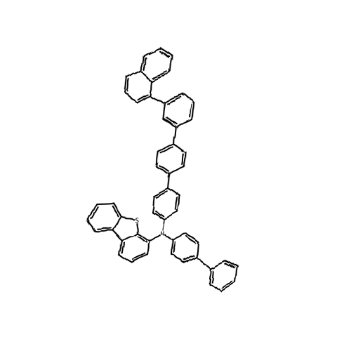 c1ccc(-c2ccc(N(c3ccc(-c4ccc(-c5cccc(-c6cccc7ccccc67)c5)cc4)cc3)c3cccc4c3sc3ccccc34)cc2)cc1